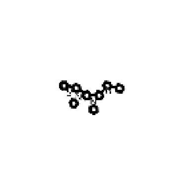 c1ccc(-c2cccc(-c3ccc4c(c3)c3cc5c6ccc7c8ccccc8sc7c6n(-c6ccccc6)c5cc3n4-c3ccccc3)n2)cc1